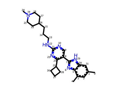 Cc1cc(C)c2nc(-c3cnc(NCCCC4CCN(C)CC4)nc3C3CCC3)[nH]c2c1